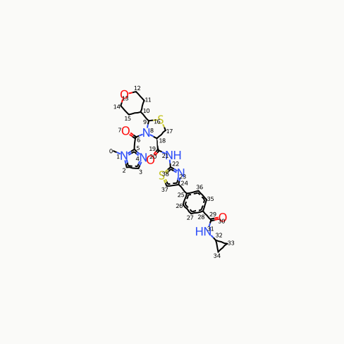 Cn1ccnc1C(=O)N1C(C2CCOCC2)SC[C@H]1C(=O)Nc1nc(-c2ccc(C(=O)NC3CC3)cc2)cs1